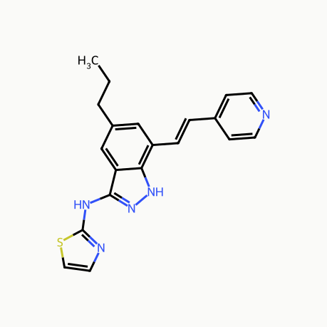 CCCc1cc(/C=C/c2ccncc2)c2[nH]nc(Nc3nccs3)c2c1